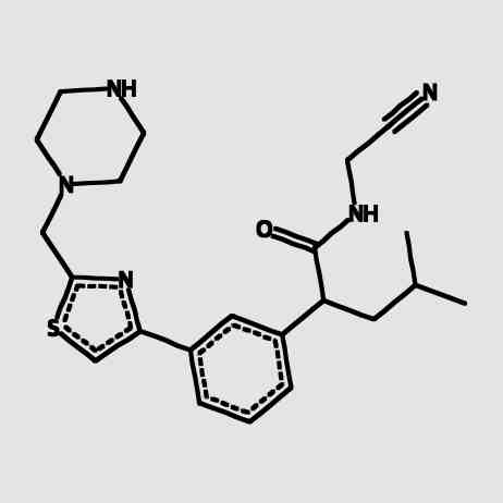 CC(C)CC(C(=O)NCC#N)c1cccc(-c2csc(CN3CCNCC3)n2)c1